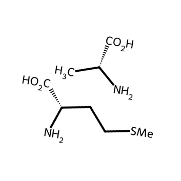 CSCC[C@H](N)C(=O)O.C[C@@H](N)C(=O)O